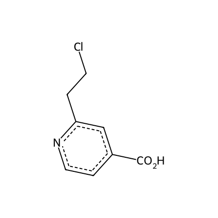 O=C(O)c1ccnc(CCCl)c1